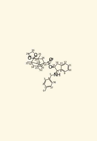 Cc1ccc(CN[C@@H]2c3ccccc3C[C@@H]2OS(=O)C23CC4(C)CC(C)(C2)C2(OCCO2)C(C)(C4)C3)cc1